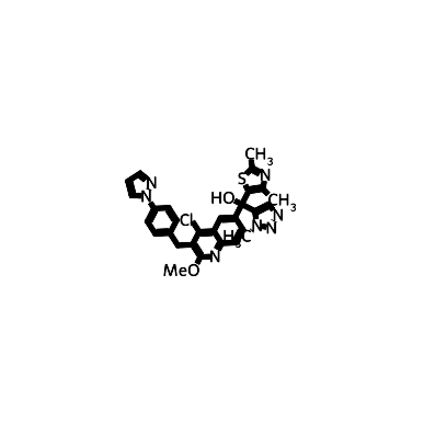 COc1nc2ccc(C(O)(c3sc(C)nc3C)c3cnnn3C)cc2c(Cl)c1Cc1ccc(-n2cccn2)cc1